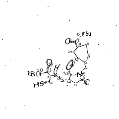 CC(C)(C)C(=O)C1CCC(CN2C(=O)CC(SN[C@@H](CS)C(=O)C(C)(C)C)C2=O)CC1